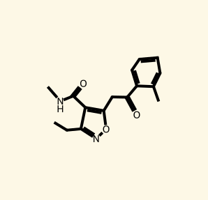 CCc1noc(CC(=O)c2ccccc2C)c1C(=O)NC